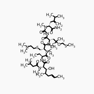 C=C(C[C@H](C(N)=O)N(C)C(=O)NC(=O)[C@H](CC(C)(C)OCSC)N(C)C(=O)[C@@H](CSCCN(C)C)N(C)C(=O)[C@H](CC)NC(=O)[C@H]([C@H](O)[C@H](C)C/C=C/C)N(C)C(=O)CC(C)C)C(C)C